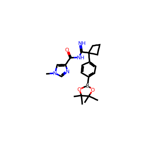 Cn1cnc(C(=O)NC(=N)C2(c3ccc(B4OC(C)(C)C(C)(C)O4)cc3)CCC2)c1